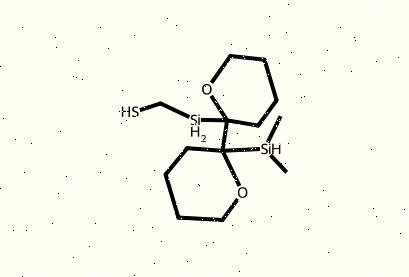 C[SiH](C)C1(C2([SiH2]CS)CCCCO2)CCCCO1